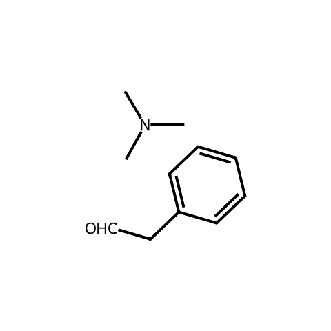 CN(C)C.O=CCc1ccccc1